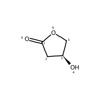 O=C1C[C@H](O)CO1